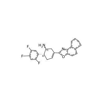 N[C@H]1CC(c2nc3c(ccc4ccccc43)o2)=CC[C@@H]1c1cc(F)c(F)cc1F